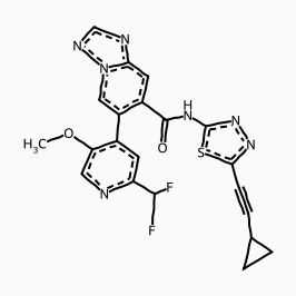 COc1cnc(C(F)F)cc1-c1cn2ncnc2cc1C(=O)Nc1nnc(C#CC2CC2)s1